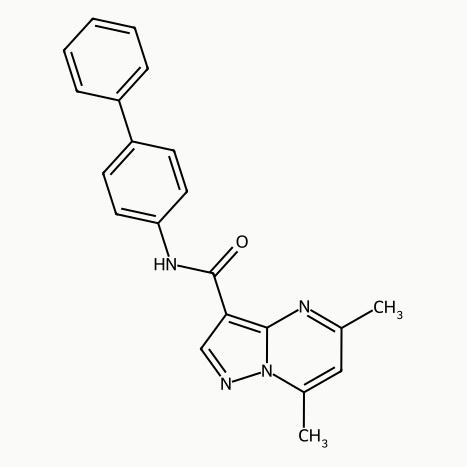 Cc1cc(C)n2ncc(C(=O)Nc3ccc(-c4ccccc4)cc3)c2n1